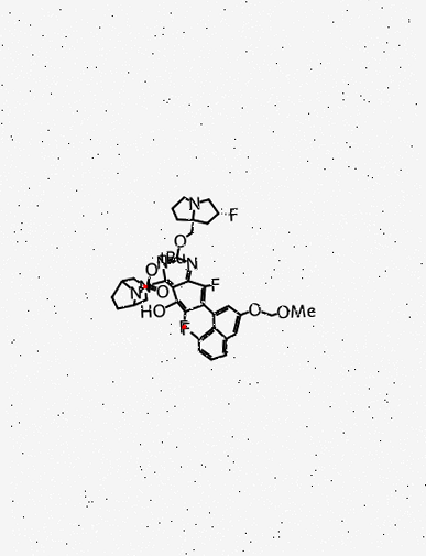 COCOc1cc(-c2c(F)c(O)c3c(N4CC5CCC(C4)N5C(=O)OC(C)(C)C)nc(OC[C@@]45CCCN4C[C@H](F)C5)nc3c2F)c2c(F)cccc2c1